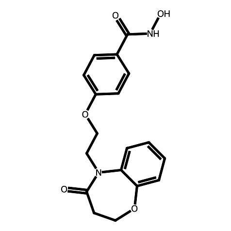 O=C(NO)c1ccc(OCCN2C(=O)CCOc3ccccc32)cc1